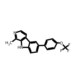 Cc1nccc2c1[nH]c1ccc(-c3ccc(OC(F)(F)F)cc3)cc12